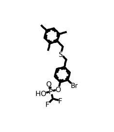 Cc1cc(C)c(CSCc2ccc(OP(=O)(O)C(F)F)c(Br)c2)c(C)c1